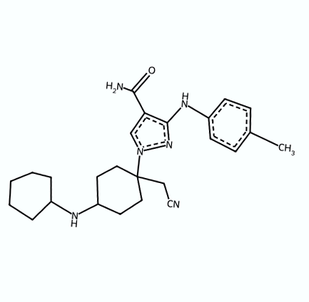 Cc1ccc(Nc2nn(C3(CC#N)CCC(NC4CCCCC4)CC3)cc2C(N)=O)cc1